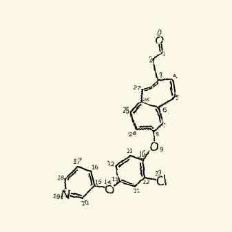 O=CCc1ccc2cc(Oc3ccc(Oc4cccnc4)cc3Cl)ccc2c1